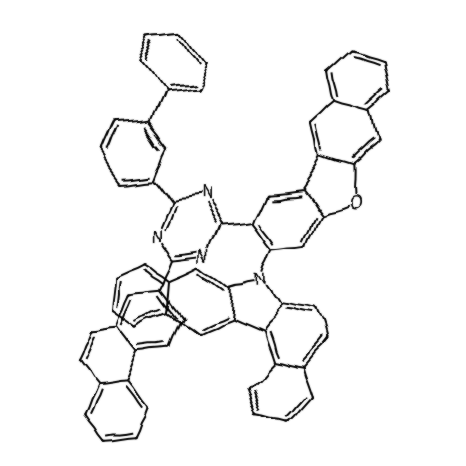 c1ccc(-c2cccc(-c3nc(-c4ccc5c(ccc6ccccc65)c4)nc(-c4cc5c(cc4-n4c6cc7ccccc7cc6c6c7ccccc7ccc64)oc4cc6ccccc6cc45)n3)c2)cc1